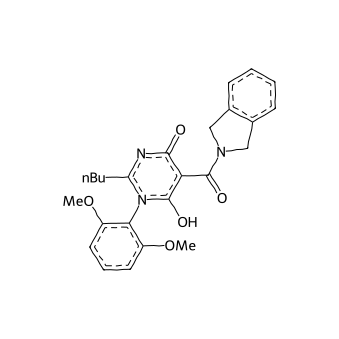 CCCCc1nc(=O)c(C(=O)N2Cc3ccccc3C2)c(O)n1-c1c(OC)cccc1OC